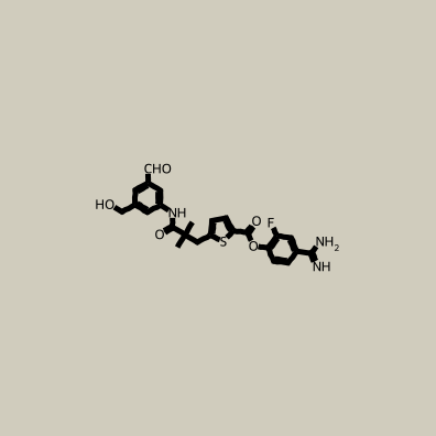 CC(C)(Cc1ccc(C(=O)Oc2ccc(C(=N)N)cc2F)s1)C(=O)Nc1cc(C=O)cc(CO)c1